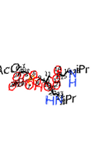 CC(=O)OC[C@H](COP(=O)(O)OCC(COC(=O)CCNC(C)C)OC(=O)CCNC(C)C)OC(=O)Br